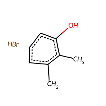 Br.Cc1cccc(O)c1C